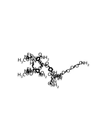 CCc1nc(C)oc1C(=O)Nc1nc2cc(C(N)=O)cc3c2n1C/C=C/Cn1c(NC(=O)c2oc(C)nc2CC)nc2cc(C(N)=O)cc(c21)OCC1(CO3)CN(C(=O)OCc2ccc(NC(=O)[C@H](CCCNC(N)=O)NC(=O)[C@@H](NC(=O)CCOCCOCCOCCOCCON)C(C)C)cc2)C1